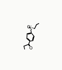 CCC[S+]([O-])c1ccc(C(=O)CC)cc1